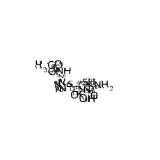 CS(=O)(=O)NCCn1nnnc1SCC1=C(C(=O)O)N2C(=O)[C@@H](N)[C@H]2SC1